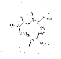 C[C@@H](O)[C@H](N)C(=O)O.C[C@@H](OC(=O)[C@@H](N)CS)[C@H](N)C(=O)O